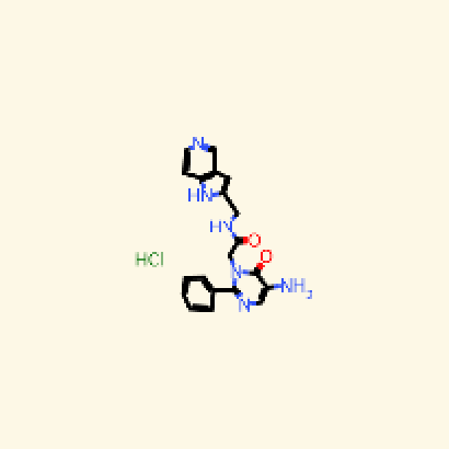 Cl.Nc1cnc(-c2ccccc2)n(CC(=O)NCc2cc3cnccc3[nH]2)c1=O